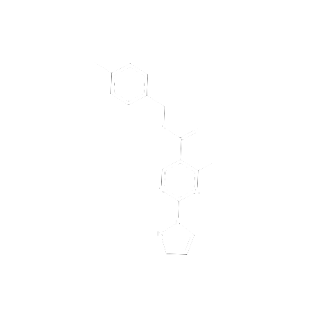 O=C(NCc1ccc(Cl)cc1)c1cnc(N2C=CCN2)nc1O